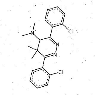 CN(C)C1C(c2ccccc2Cl)=NN=C(c2ccccc2Cl)C1(C)C